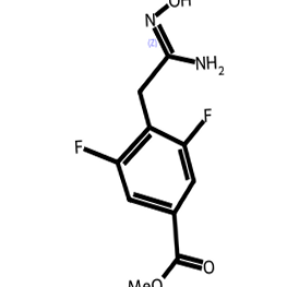 COC(=O)c1cc(F)c(C/C(N)=N/O)c(F)c1